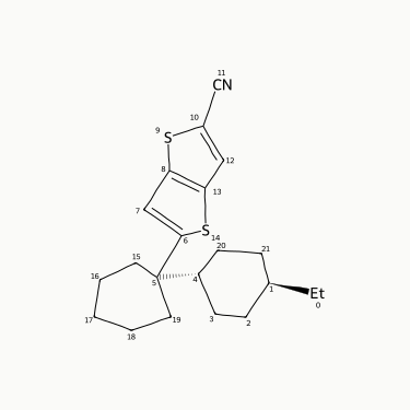 CC[C@H]1CC[C@H](C2(c3cc4sc(C#N)cc4s3)CCCCC2)CC1